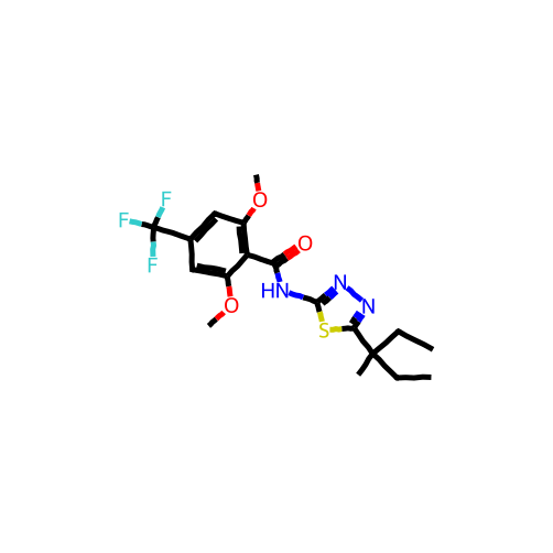 CCC(C)(CC)c1nnc(NC(=O)c2c(OC)cc(C(F)(F)F)cc2OC)s1